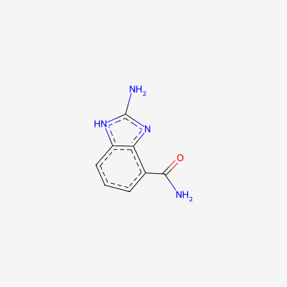 NC(=O)c1cccc2[nH]c(N)nc12